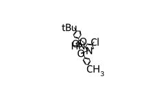 Cc1ccc(C(=O)c2ncc(Cl)cc2NS(=O)(=O)c2ccc(C(C)(C)C)cc2)cc1